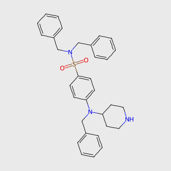 O=S(=O)(c1ccc(N(Cc2ccccc2)C2CCNCC2)cc1)N(Cc1ccccc1)Cc1ccccc1